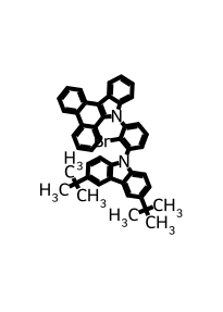 CC(C)(C)c1ccc2c(c1)c1cc(C(C)(C)C)ccc1n2-c1cccc(-n2c3ccccc3c3c4ccccc4c4ccccc4c32)c1Br